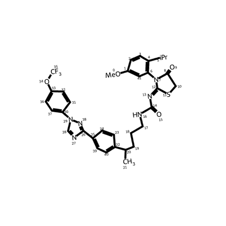 COc1ccc(C(C)C)c(N2C(=O)CS/C2=N\C(=O)NCCCC(C)c2ccc(-c3ncn(-c4ccc(OC(F)(F)F)cc4)n3)cc2)c1